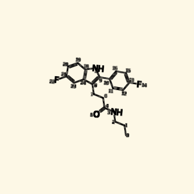 CCCNC(=O)CCc1c(-c2ccc(F)cc2)[nH]c2ccc(F)cc12